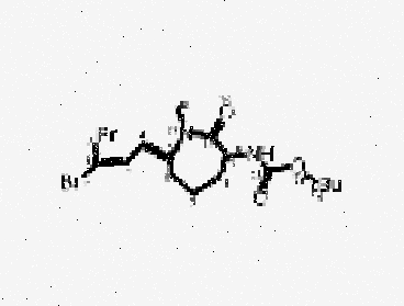 CC(C)/C(Br)=C\C=C1/CCCC(NC(=O)OC(C)(C)C)C(=O)N1C